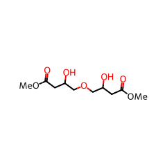 COC(=O)CC(O)COCC(O)CC(=O)OC